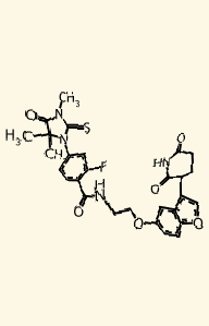 CN1C(=O)C(C)(C)N(c2ccc(C(=O)NCCOc3ccc4occ(C5CCC(=O)NC5=O)c4c3)c(F)c2)C1=S